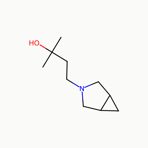 CC(C)(O)CCN1CC2CC2C1